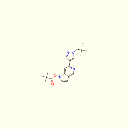 CC(C)(C)C(=O)On1ccc2cnc(-c3cnn(CC(F)(F)F)c3)cc21